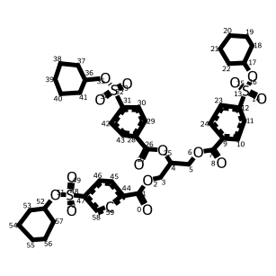 O=C(OCC(COC(=O)c1ccc(S(=O)(=O)OC2CCCCC2)cc1)OC(=O)c1ccc(S(=O)(=O)OC2CCCCC2)cc1)c1ccc(S(=O)(=O)OC2CCCCC2)cc1